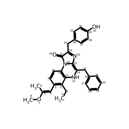 CCc1c(/C=C(\C)OC)ccc2c1[nH]c(Cc1ccccc1)c1nc(Cc3ccc(O)cc3)c(=O)n2-1